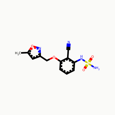 Cc1cc(COc2cccc(NS(N)(=O)=O)c2C#N)no1